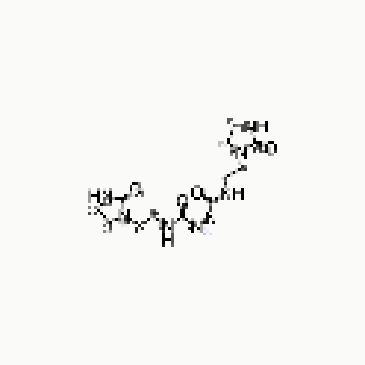 O=C(/N=N\C(=O)NCCN1CCNC1=O)NCCN1CCNC1=O